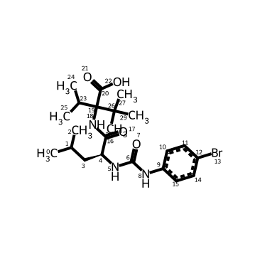 CC(C)C[C@H](NC(=O)Nc1ccc(Br)cc1)C(=O)NC(C(=O)O)(C(C)C)C(C)(C)C